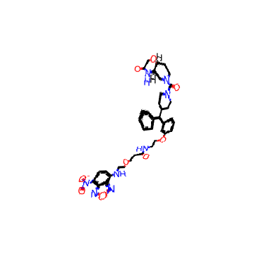 O=C(CCOCCNc1ccc([N+](=O)[O-])c2nonc12)NCCOc1cccc(C(c2ccccc2)C2CCN(C(=O)N3CC[C@@H]4OCC(=O)N[C@@H]4C3)CC2)c1